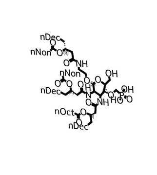 CCCCCCCCCCC[C@H](CC(=O)NCCO[C@@H]1OC(CO)[C@@H](OCP(=O)(O)O)C(NC(=O)C[C@@H](CCCCCCCCCCC)OC(=O)CCCCCCCC)C1NC(=O)C[C@@H](CCCCCCCCCCC)OC(=O)CCCCCCCCC)OC(=O)CCCCCCCCC